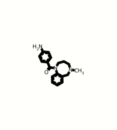 CN1CCCN(C(=O)c2ccc(N)cc2)c2ccccc2C1